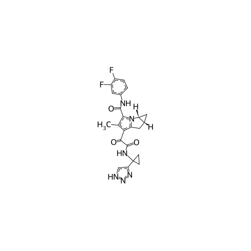 Cc1c(C(=O)C(=O)NC2(c3c[nH]nn3)CC2)c2n(c1C(=O)Nc1ccc(F)c(F)c1)[C@@H]1C[C@@H]1C2